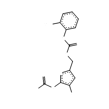 COc1ccccc1NC(=O)NCc1cc(C(=O)O)c(NC(=O)C(=O)O)s1